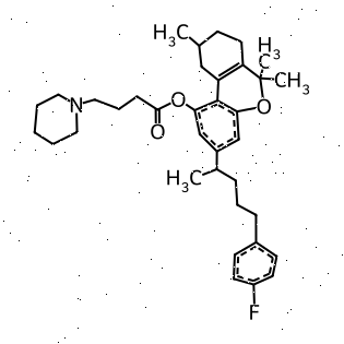 CC1CCC2=C(C1)c1c(OC(=O)CCCN3CCCCC3)cc(C(C)CCCc3ccc(F)cc3)cc1OC2(C)C